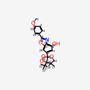 COc1ccc(-c2nc3c(O)cc(C45OCC(C)(C)C4(C(C)(C)C)OO5)cc3o2)cc1